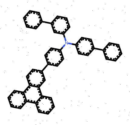 c1ccc(-c2ccc(N(c3ccc(-c4ccc5c6ccccc6c6ccccc6c5c4)cc3)c3cccc(-c4ccccc4)c3)cc2)cc1